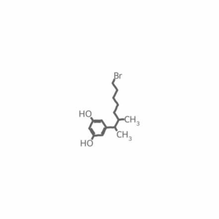 CC(CCCCCBr)C(C)c1cc(O)cc(O)c1